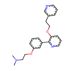 CN(C)CCOc1cccc(-c2ncccc2OCCc2cccnc2)c1